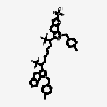 Cc1ccc(Cn2nc(C(CCCCCC(c3nn(Cc4ccc(C)cc4)c4c3Cc3cc(S(=O)(=O)O)sc3-4)C(F)(F)F)C(F)(F)F)c3c2-c2sccc2C3)cc1